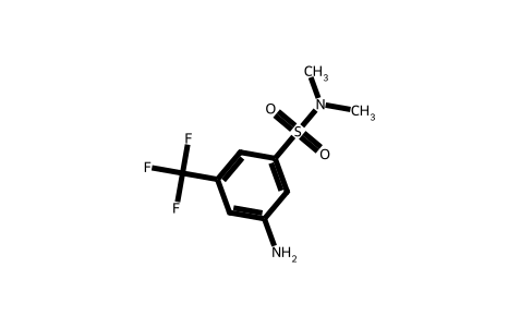 CN(C)S(=O)(=O)c1cc(N)cc(C(F)(F)F)c1